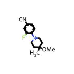 [C-]#[N+]c1ccc(N2CCC(C)(OC)CC2)c(F)c1